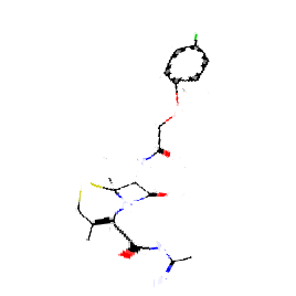 CC(=N)NC(=O)C1=C(C)CS[C@@H]2[C@H](NC(=O)COc3ccc(Cl)cc3)C(=O)N12